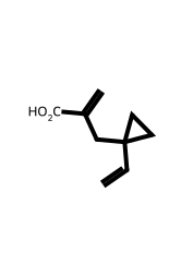 C=CC1(CC(=C)C(=O)O)CC1